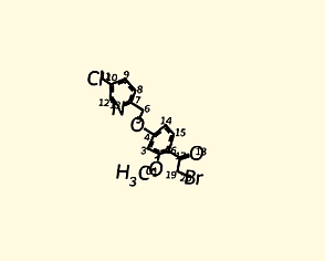 COc1cc(OCc2ccc(Cl)cn2)ccc1C(=O)CBr